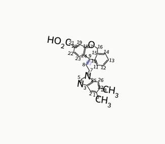 Cc1cc2ncn(C/C=C3\c4ccccc4COc4cc(C(=O)O)ccc43)c2cc1C